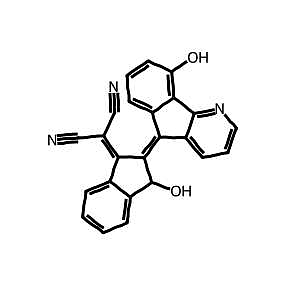 N#CC(C#N)=C1/C(=C2/c3cccnc3-c3c(O)cccc32)C(O)c2ccccc21